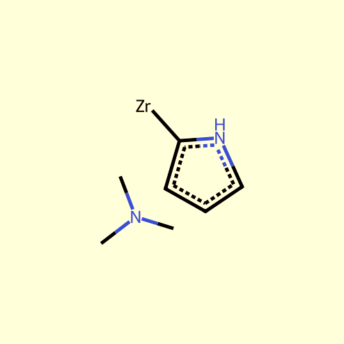 CN(C)C.[Zr][c]1ccc[nH]1